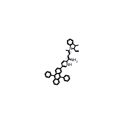 C=CC1C(C)c2ccccc2N1/C(C)=C/C=C(\N)C1C=CC(c2ccc3c(-c4ccccc4)c4ccccc4c(-c4ccccc4)c3c2)=CN1